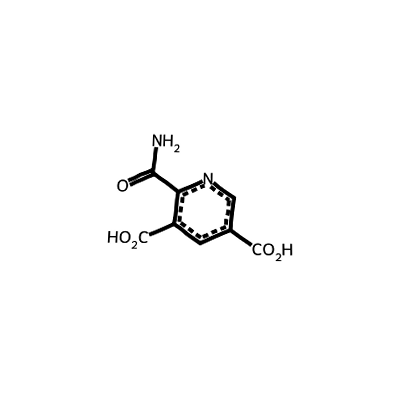 NC(=O)c1ncc(C(=O)O)cc1C(=O)O